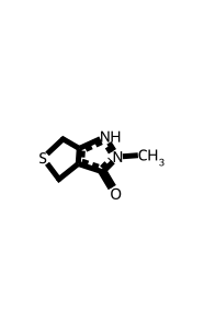 Cn1[nH]c2c(c1=O)CSC2